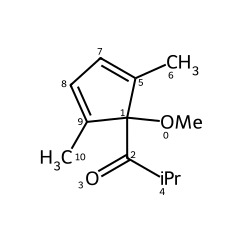 COC1(C(=O)C(C)C)C(C)=CC=C1C